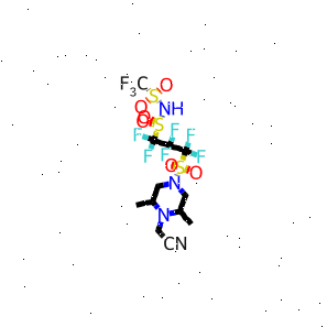 CC1CN(S(=O)(=O)C(F)(F)C(F)(F)C(F)(F)S(=O)(=O)NS(=O)(=O)C(F)(F)F)CC(C)N1CC#N